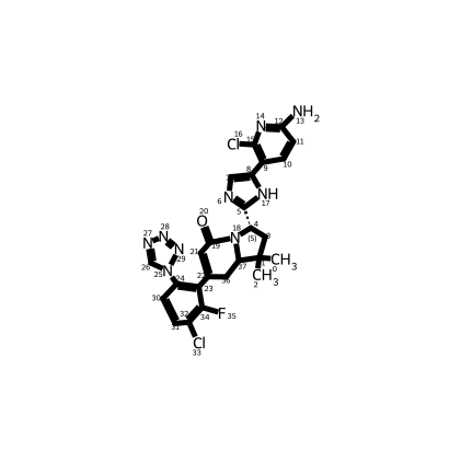 CC1(C)C[C@@H](c2ncc(-c3ccc(N)nc3Cl)[nH]2)N2C(=O)C=C(c3c(-n4cnnn4)ccc(Cl)c3F)CC21